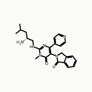 CC(C)C[C@@H](N)CNc1nc(-c2ccncc2)c(N2Cc3ccccc3C2=O)c(=O)n1C